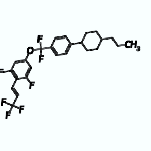 CCCC1CCC(c2ccc(C(F)(F)Oc3cc(F)c(/C=C/C(F)(F)F)c(F)c3)cc2)CC1